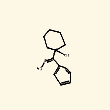 ON=C(c1ccccc1)C1(O)CCCCC1